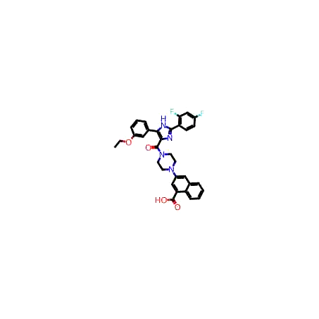 CCOc1cccc(-c2[nH]c(-c3ccc(F)cc3F)nc2C(=O)N2CCN(c3cc(C(=O)O)c4ccccc4c3)CC2)c1